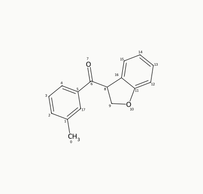 Cc1cccc(C(=O)C2COc3ccccc32)c1